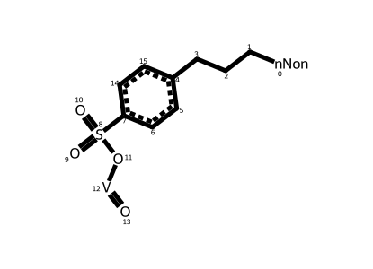 CCCCCCCCCCCCc1ccc(S(=O)(=O)[O][V]=[O])cc1